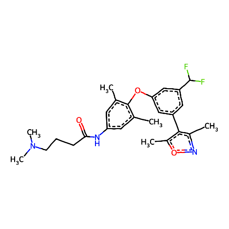 Cc1cc(NC(=O)CCCN(C)C)cc(C)c1Oc1cc(-c2c(C)noc2C)cc(C(F)F)c1